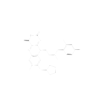 Cc1cc(Cl)ccc1CN(C)CCn1c2nc(=O)[nH]c(=O)c-2nc2cc(C)c(OC3CCCC3)cc21